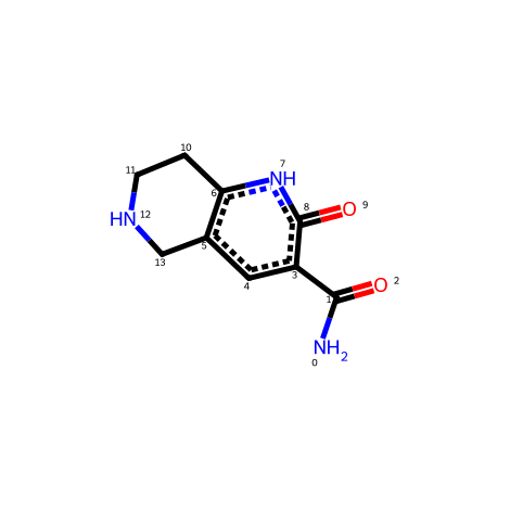 NC(=O)c1cc2c([nH]c1=O)CCNC2